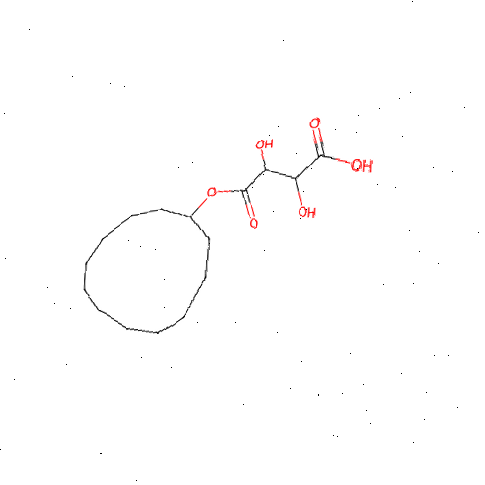 O=C(O)C(O)C(O)C(=O)OC1CCCCCCCCCCC1